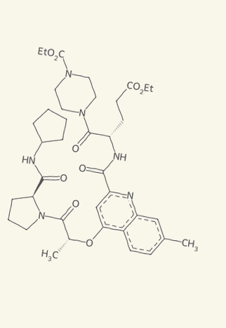 CCOC(=O)CC[C@H](NC(=O)c1cc(O[C@H](C)C(=O)N2CCC[C@H]2C(=O)NC2CCCC2)c2ccc(C)cc2n1)C(=O)N1CCN(C(=O)OCC)CC1